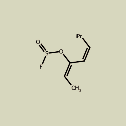 C/C=C(\C=C/C(C)C)OS(=O)F